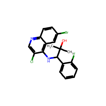 CC(C)(O)C(Nc1c(Cl)cnc2ccc(Br)cc12)c1ccccc1F